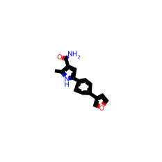 Cc1[nH]c(-c2ccc(-c3ccoc3)cc2)cc1C(N)=O